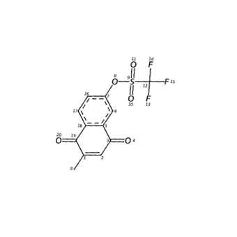 CC1=CC(=O)c2cc(OS(=O)(=O)C(F)(F)F)ccc2C1=O